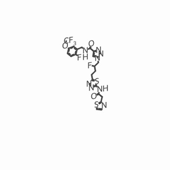 O=C(Cc1nccs1)Nc1nnc(CCC(F)Cn2cc(C(=O)NCc3cc(OC(F)(F)F)ccc3F)nn2)s1